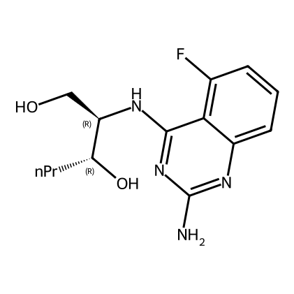 CCC[C@@H](O)[C@@H](CO)Nc1nc(N)nc2cccc(F)c12